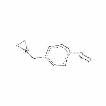 C=Cc1ccc(CN2CC2)cc1